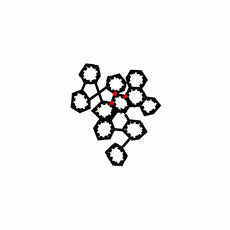 c1ccc(-c2ccccc2-c2c(-c3ccccc3)cccc2N(c2cccc3c2-c2ccccc2C32c3ccccc3-c3ccccc32)c2cc3ccccc3c3ccccc23)cc1